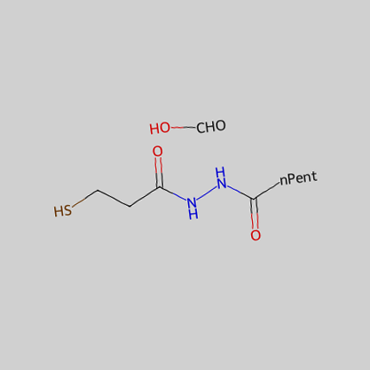 CCCCCC(=O)NNC(=O)CCS.O=CO